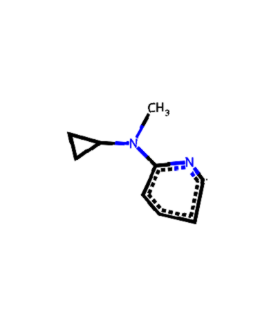 CN(c1ccc[c]n1)C1CC1